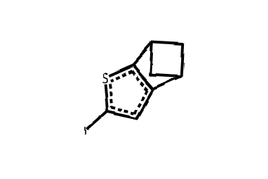 Ic1cc2c(s1)C1CC2C1